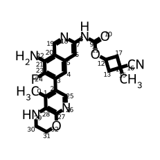 Cc1c(-c2cc3cc(NC(=O)OC4CC(C)(C#N)C4)ncc3c(N)c2F)cnc2c1NCCO2